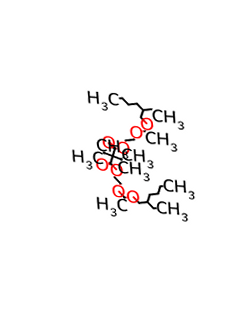 CCCCC(CC)COC(C)OCCOC(=O)C(C(=O)OCCOC(C)OCC(CC)CCCC)(C(C)C)C(C)C